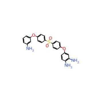 Nc1cccc(Oc2ccc(S(=O)(=O)c3ccc(Oc4ccc(N)c(N)c4)cc3)cc2)c1